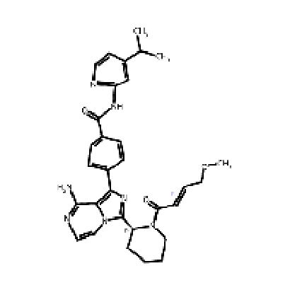 COC/C=C/C(=O)N1CCCC[C@H]1c1nc(-c2ccc(C(=O)Nc3cc(C(C)C)ccn3)cc2)c2c(N)nccn12